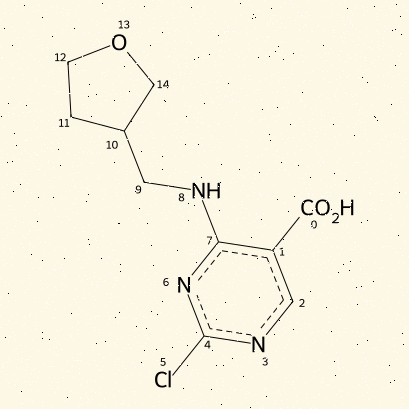 O=C(O)c1cnc(Cl)nc1NCC1CCOC1